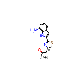 COC(=O)C[C@@H]1CSC(c2cc3cccc(N)c3[nH]2)=N1